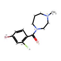 CN1CCCN(C(=O)c2ccc(Br)cc2F)CC1